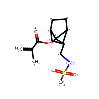 C=C(C)C(=O)OC1(CCNS(=O)(=O)C(F)(F)F)C2CCC1CC2